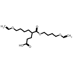 C=COCCCCOC(=O)C(CCCCOC=C)CCC(=O)O